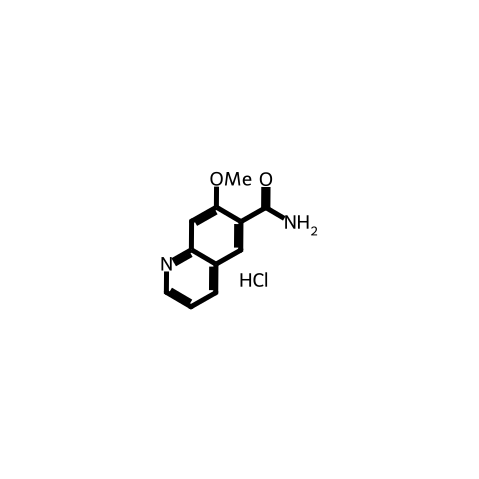 COc1cc2ncccc2cc1C(N)=O.Cl